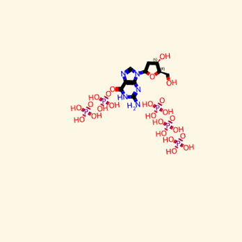 Nc1nc2c(ncn2C2C[C@H](O)[C@@H](CO)O2)c(=O)[nH]1.O=P(O)(O)O.O=P(O)(O)O.O=P(O)(O)O.O=P(O)(O)O.O=P(O)(O)O